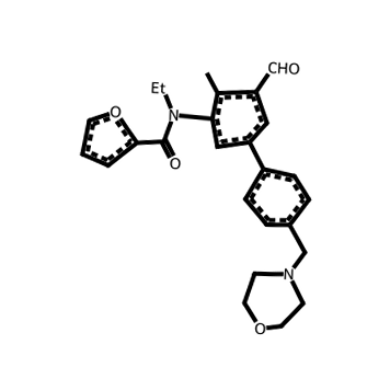 CCN(C(=O)c1ccco1)c1cc(-c2ccc(CN3CCOCC3)cc2)cc(C=O)c1C